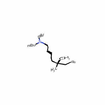 CCCCN(CC=CCC(C)(C)CC(C)(C)C)CCCC